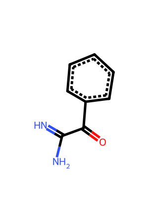 N=C(N)C(=O)c1ccccc1